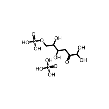 O=C(CC(O)C(O)COP(=O)(O)O)C(O)O.O=P(O)(O)O